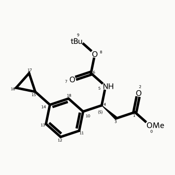 COC(=O)C[C@H](NC(=O)OC(C)(C)C)c1cccc(C2CC2)c1